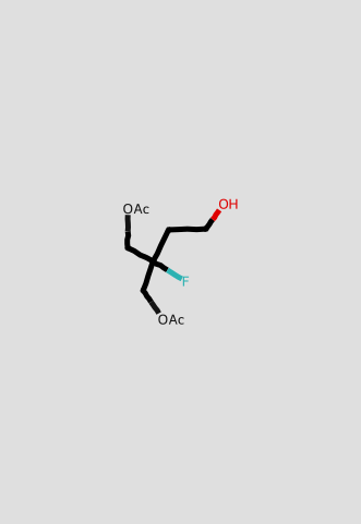 CC(=O)OCC(F)(CCO)COC(C)=O